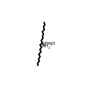 CCCCCCCCCCCCCCCCCCCC.CCCCCCCN